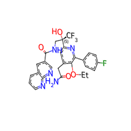 CCOc1c(CC(N)=O)cc([C@@](O)(CNC(=O)c2cnc3ncccc3c2)C(F)(F)F)nc1-c1ccc(F)cc1